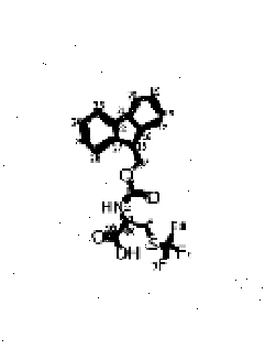 O=C(N[C@@H](CSC(F)(F)F)C(=O)O)OCC1c2ccccc2-c2ccccc21